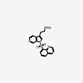 CNCCc1cn(S(=O)(=O)c2cccc3cccnc23)c2cnccc12